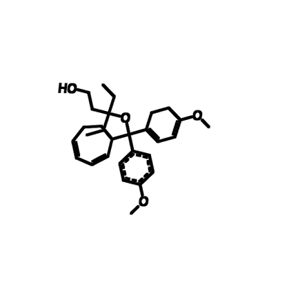 CCC(CC)(CCO)OC(C1=CC=C(OC)CC1)(c1ccc(OC)cc1)C1C=CC=CCC1